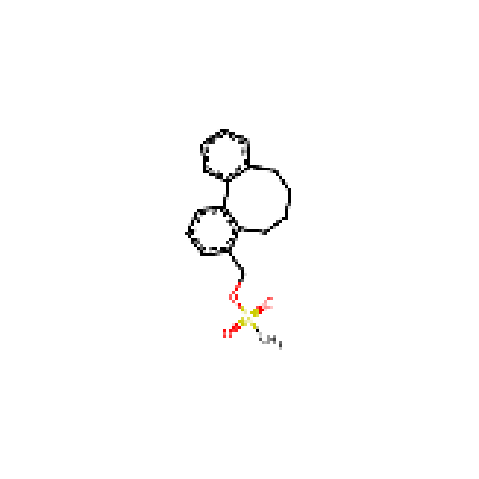 CS(=O)(=O)OCc1cccc2c1CCCCc1ccccc1-2